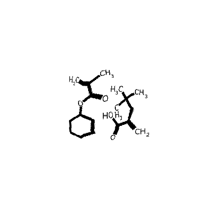 C=C(C)C(=O)OC1CCCCC1.C=C(CC(C)(C)C)C(=O)O